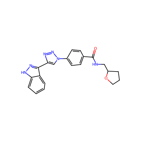 O=C(NCC1CCCO1)c1ccc(-n2cc(-c3n[nH]c4ccccc34)nn2)cc1